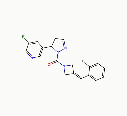 O=C(N1CC(=Cc2ccccc2F)C1)N1N=CCC1c1cncc(F)c1